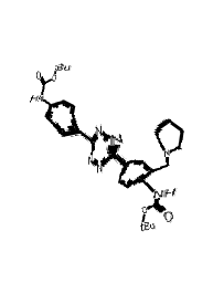 CC(C)(C)OC(=O)Nc1ccc(-c2nnc(-c3ccc(NC(=O)OC(C)(C)C)c(CN4CCCCC4)c3)nn2)cc1